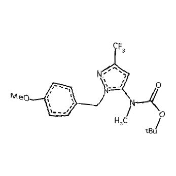 COc1ccc(Cn2nc(C(F)(F)F)cc2N(C)C(=O)OC(C)(C)C)cc1